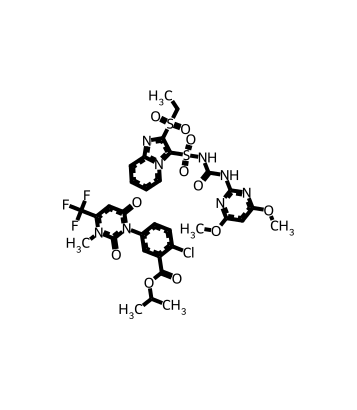 CC(C)OC(=O)c1cc(-n2c(=O)cc(C(F)(F)F)n(C)c2=O)ccc1Cl.CCS(=O)(=O)c1nc2ccccn2c1S(=O)(=O)NC(=O)Nc1nc(OC)cc(OC)n1